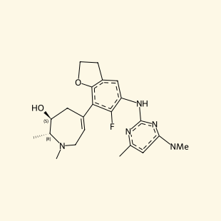 CNc1cc(C)nc(Nc2cc3c(c(C4=CCN(C)[C@H](C)[C@@H](O)C4)c2F)OCC3)n1